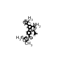 Cc1nocc1-c1cc(C(N)=O)c2c(c1)c1ccc(C(=O)N3CC(C)OC(C)C3)cc1n2CC1CC1